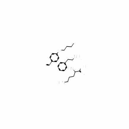 CCCCOc1ccc(C=O)cc1.NCCCC(N)C(=O)O.NCCc1ccccc1